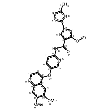 CCOc1cn(-c2noc(C)n2)nc1C(=O)Nc1ccc(Oc2ccnc3cc(OC)c(OC)cc23)cn1